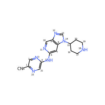 [C-]#[N+]c1cnc(Nc2cc3c(cn2)ncn3C2CCNCC2)cn1